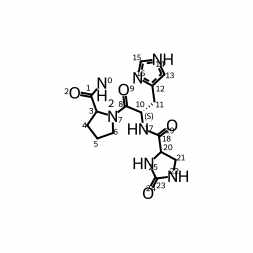 NC(=O)C1CCCN1C(=O)[C@H](Cc1c[nH]cn1)NC(=O)C1CNC(=O)N1